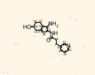 Nc1c(NC(=O)CCc2cccnc2)sc2c1CCC(O)C2